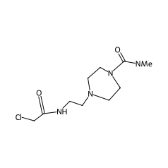 CNC(=O)N1CCN(CCNC(=O)CCl)CC1